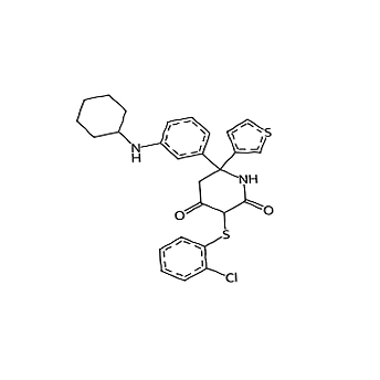 O=C1CC(c2ccsc2)(c2cccc(NC3CCCCC3)c2)NC(=O)C1Sc1ccccc1Cl